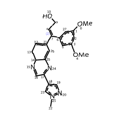 COc1cc(OC)cc(/C(=C\CO)C2=CCC3N=CC(c4cnn(C)c4)=NC3=C2)c1